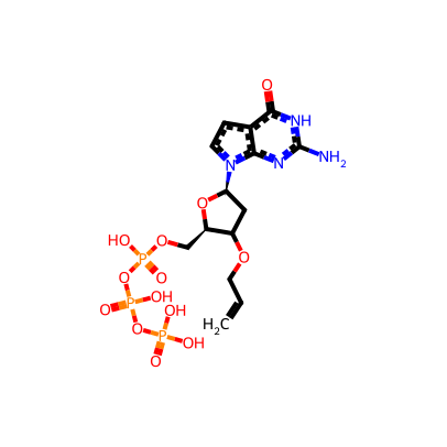 C=CCOC1C[C@H](n2ccc3c(=O)[nH]c(N)nc32)O[C@@H]1COP(=O)(O)OP(=O)(O)OP(=O)(O)O